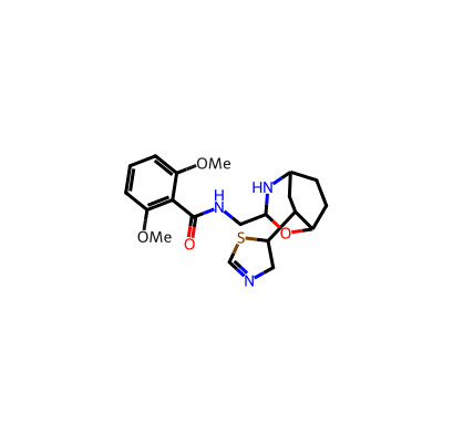 COc1cccc(OC)c1C(=O)NCC1NC2CCC(O1)C(C1CN=CS1)C2